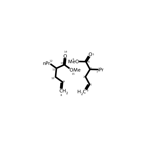 C=CCC(C(=O)OC)C(C)C.C=CCC(CCC)C(=O)OC